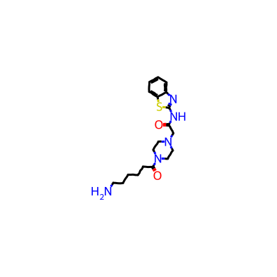 NCCCCCC(=O)N1CCN(CC(=O)Nc2nc3ccccc3s2)CC1